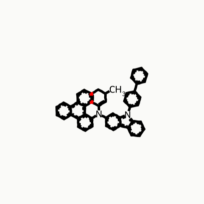 CC1C=C(N(c2ccc3c4ccccc4n(-c4ccc(-c5ccccc5)cc4)c3c2)c2cccc3c4ccccc4c4ccccc4c23)C=CC1